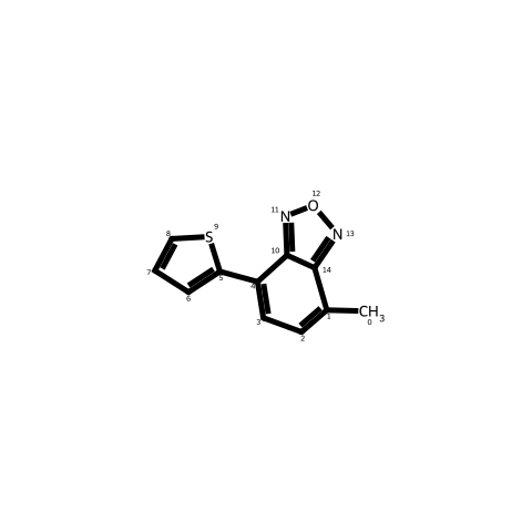 Cc1ccc(-c2cccs2)c2nonc12